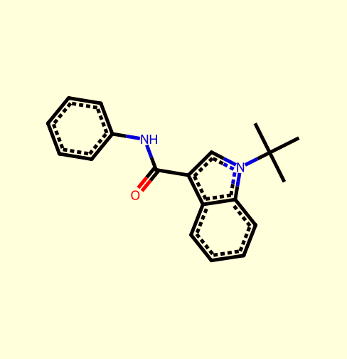 CC(C)(C)n1cc(C(=O)Nc2ccccc2)c2ccccc21